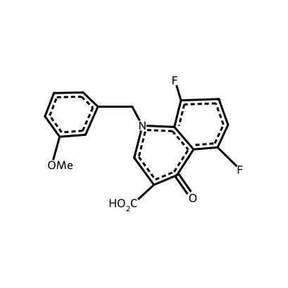 COc1cccc(Cn2cc(C(=O)O)c(=O)c3c(F)ccc(F)c32)c1